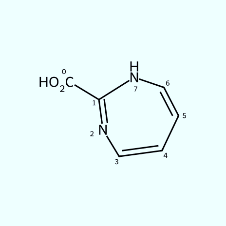 O=C(O)C1=NC=CC=CN1